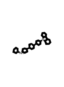 c1ccc(Nc2ccc(-c3ccc(-c4ccc(-n5c6ccccc6c6ccccc65)cc4)cc3)cc2)cc1